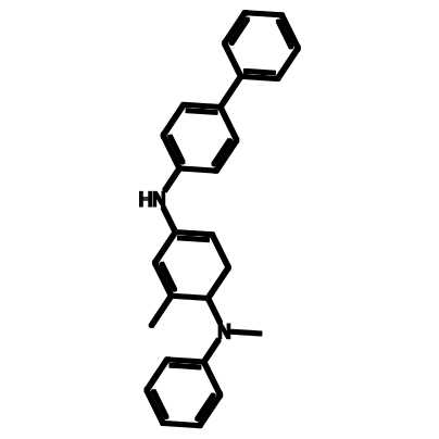 CC1=CC(Nc2ccc(-c3ccccc3)cc2)=CCC1N(C)c1ccccc1